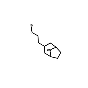 CCOCCC1CC2CCC(C1)N2